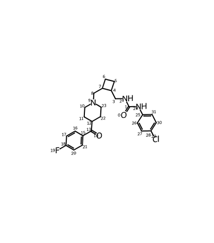 O=C(NCC1CCC1CN1CCC(C(=O)c2ccc(F)cc2)CC1)Nc1ccc(Cl)cc1